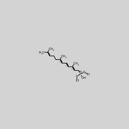 CCO[PH](O)(C/C=C(C)/C=C/C=C(\C)CCC=C(C)C)OCC